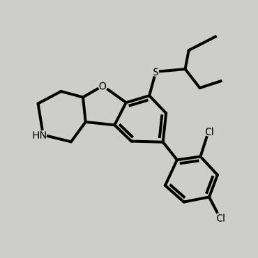 CCC(CC)Sc1cc(-c2ccc(Cl)cc2Cl)cc2c1OC1CCNCC21